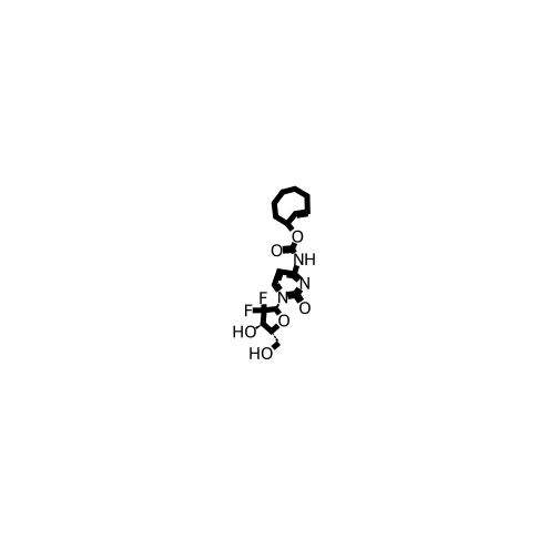 O=C(Nc1ccn([C@@H]2O[C@H](CO)[C@H](O)C2(F)F)c(=O)n1)OC1/C=C/CCCCC1